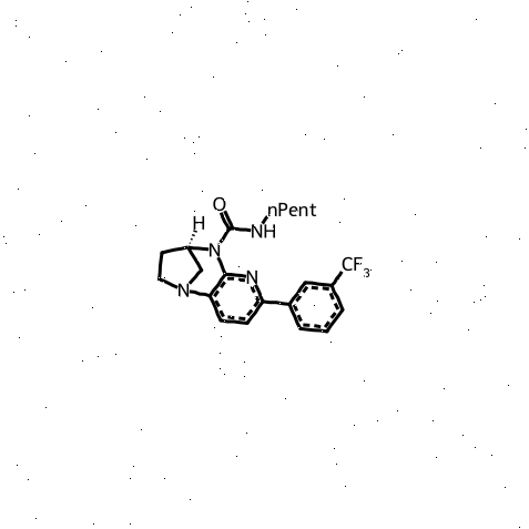 CCCCCNC(=O)N1c2nc(-c3cccc(C(F)(F)F)c3)ccc2N2CC[C@@H]1C2